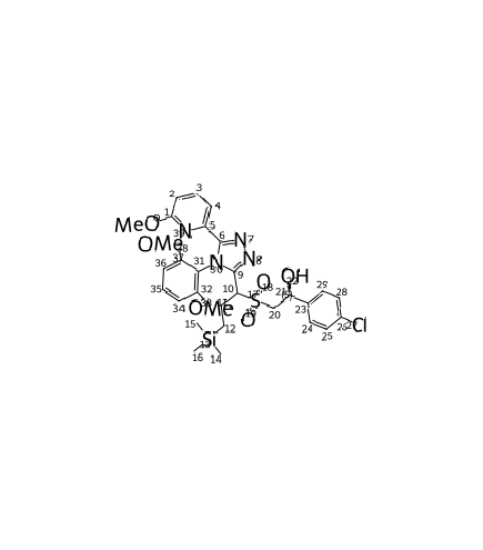 COc1cccc(-c2nnc(C(CC[Si](C)(C)C)S(=O)(=O)C[C@@H](O)c3ccc(Cl)cc3)n2-c2c(OC)cccc2OC)n1